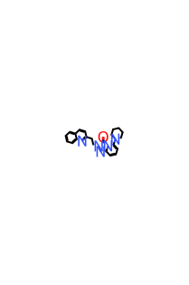 O=c1n(CCc2ccc3ccccc3n2)nc2cccc(N3CCCCC3)n12